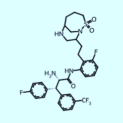 N[C@H](C(=O)Nc1cccc(F)c1CCC1CNC2CCCS(=O)(=O)N1C2)[C@@H](c1ccc(F)cc1)c1cccc(C(F)(F)F)c1